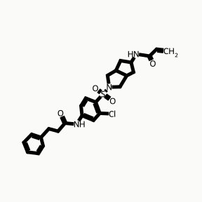 C=CC(=O)NC1CC2CN(S(=O)(=O)c3ccc(NC(=O)CCc4ccccc4)cc3Cl)CC2C1